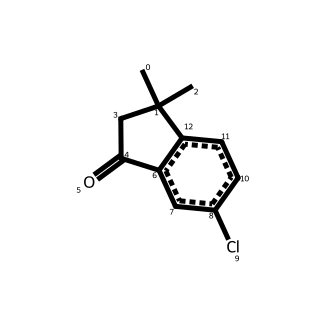 CC1(C)CC(=O)c2cc(Cl)ccc21